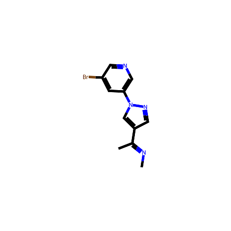 C/N=C(\C)c1cnn(-c2cncc(Br)c2)c1